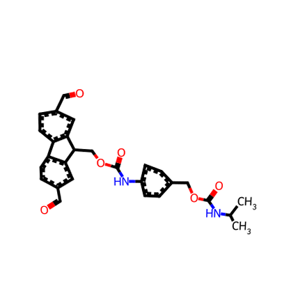 CC(C)NC(=O)OCc1ccc(NC(=O)OCC2c3cc(C=O)ccc3-c3ccc(C=O)cc32)cc1